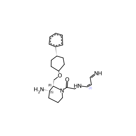 N=C/C=C\NCC(=O)N1CCC[C@H](N)[C@@H]1CO[C@H]1CC[C@@H](c2ccccc2)CC1